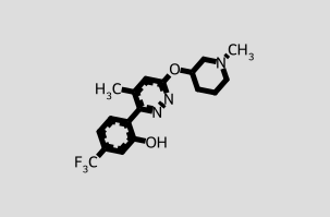 Cc1cc(OC2CCCN(C)C2)nnc1-c1ccc(C(F)(F)F)cc1O